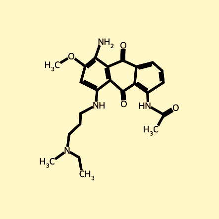 CCN(C)CCCNc1cc(OC)c(N)c2c1C(=O)c1c(NC(C)=O)cccc1C2=O